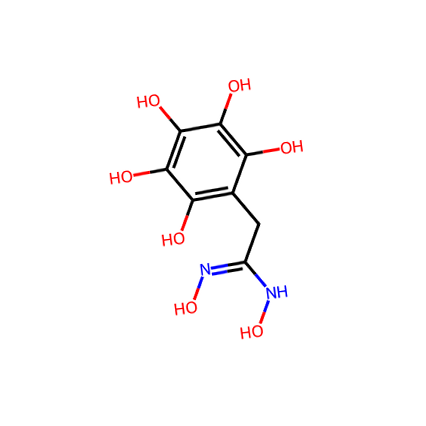 ON=C(Cc1c(O)c(O)c(O)c(O)c1O)NO